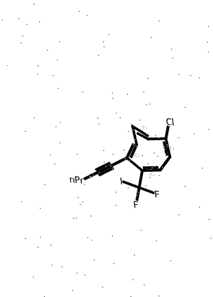 CCCC#CC1=C\C=C\C(Cl)=C/C=C\1C(F)(F)I